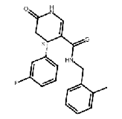 Cc1ccccc1CNC(=O)C1=CNC(=O)C[C@H]1c1cccc(F)c1